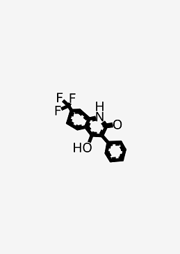 O=c1[nH]c2cc(C(F)(F)F)ccc2c(O)c1-c1ccccc1